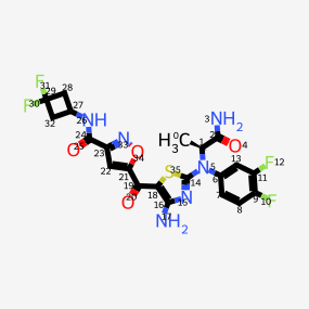 C[C@@H](C(N)=O)N(c1ccc(F)c(F)c1)c1nc(N)c(C(=O)c2cc(C(=O)NC3CC(F)(F)C3)no2)s1